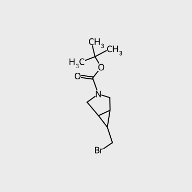 CC(C)(C)OC(=O)N1CC2C(CBr)C2C1